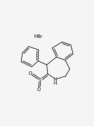 Br.O=S(=O)=C1NCCc2ccccc2C1c1ccccc1